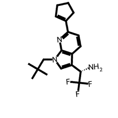 CC(C)(C)Cn1cc([C@H](N)C(F)(F)F)c2ccc(C3=CCCC3)nc21